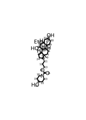 CC[C@H]1[C@@H](O)[C@@H]2[C@H](CC[C@]3(C)[C@@H](CCCOC(=O)N4CCC(O)CC4)CC[C@@H]23)[C@@]2(C)CC[C@@H](O)C[C@@H]12